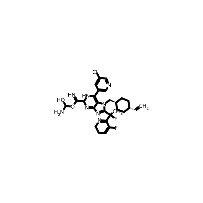 C=C[C@H]1CC[C@H](Cn2c(C(C)(F)C3=NCCC=C3F)nc3c2=C(c2cncc(Cl)c2)NC(C(=N)OC(N)O)N=3)CC1